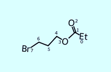 CCC(=O)OCCCBr